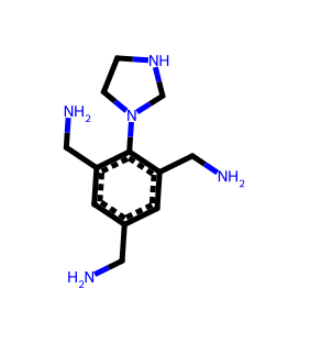 NCc1cc(CN)c(N2CCNC2)c(CN)c1